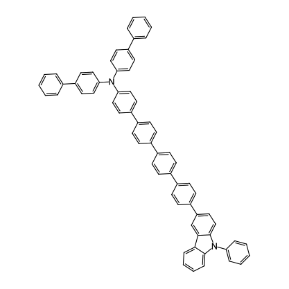 c1ccc(-c2ccc(N(c3ccc(-c4ccccc4)cc3)c3ccc(-c4ccc(-c5ccc(-c6ccc(-c7ccc8c(c7)c7ccccc7n8-c7ccccc7)cc6)cc5)cc4)cc3)cc2)cc1